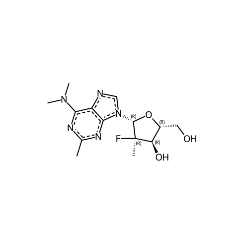 Cc1nc(N(C)C)c2ncn([C@@H]3O[C@H](CO)[C@@H](O)[C@@]3(C)F)c2n1